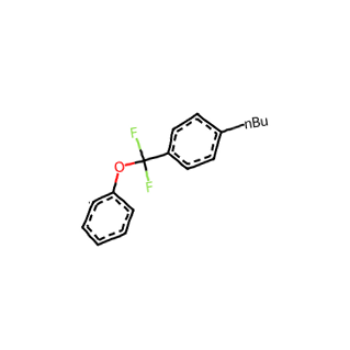 CCCCc1ccc(C(F)(F)Oc2[c]cccc2)cc1